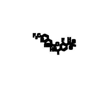 CCCCc1nc(C(F)(F)F)ccc1/C=C/C(=O)NC(C)c1ccc(NS(C)(=O)=O)c(F)c1